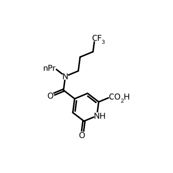 CCCN(CCCC(F)(F)F)C(=O)c1cc(C(=O)O)[nH]c(=O)c1